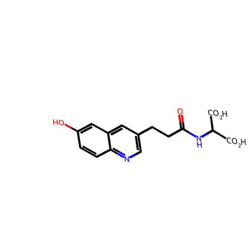 O=C(CCc1cnc2ccc(O)cc2c1)NC(C(=O)O)C(=O)O